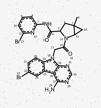 CC12CC(C(=O)Nc3cccc(Br)n3)N(C(=O)Cn3c4ccc(Br)cc4c4c(N)ncnc43)C1C2